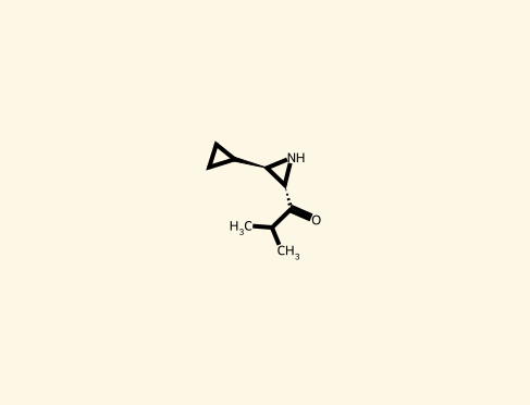 CC(C)C(=O)[C@H]1N[C@@H]1C1CC1